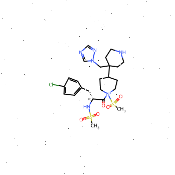 CS(=O)(=O)N[C@H](Cc1ccc(Cl)cc1)C(=O)[N+]1(S(C)(=O)=O)CCC(C2(Cn3cncn3)CCNCC2)CC1